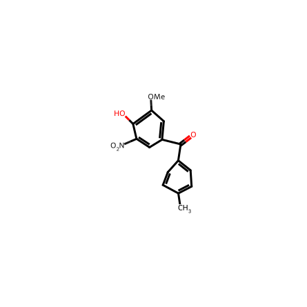 COc1cc(C(=O)c2ccc(C)cc2)cc([N+](=O)[O-])c1O